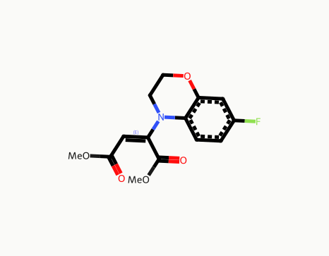 COC(=O)/C=C(\C(=O)OC)N1CCOc2cc(F)ccc21